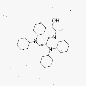 C[C@@H](CO)N=CC(=CN(C1CCCCC1)C1CCCCC1)N(C1CCCCC1)C1CCCCC1